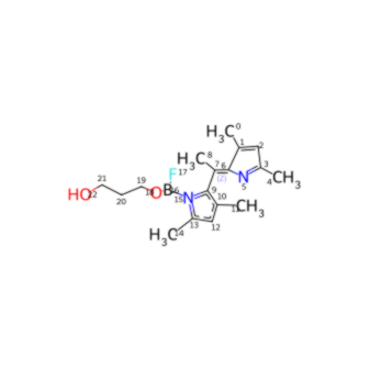 CC1=CC(C)=N/C1=C(/C)c1c(C)cc(C)n1B(F)OCCCO